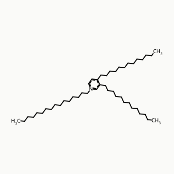 CCCCCCCCCCCCCCCC[n+]1ccc(CCCCCCCCCCCCC)c(CCCCCCCCCCCCC)c1